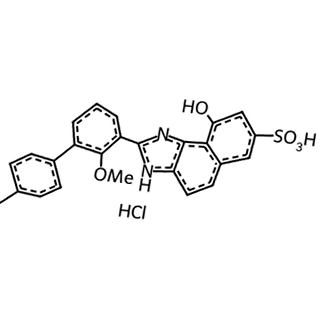 COc1c(-c2ccc(C)cc2)cccc1-c1nc2c(ccc3cc(S(=O)(=O)O)cc(O)c32)[nH]1.Cl